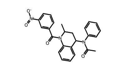 CC(=O)N(c1ccccc1)C1CC(C)N(C(=O)c2cccc([N+](=O)[O-])c2)c2ccccc21